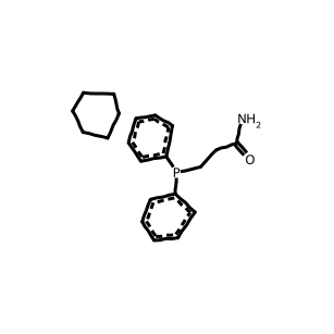 C1CCCCC1.NC(=O)CCP(c1ccccc1)c1ccccc1